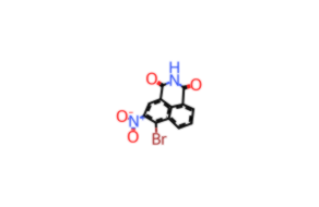 O=C1NC(=O)c2cc([N+](=O)[O-])c(Br)c3cccc1c23